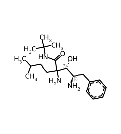 CC(C)CCC(N)(C(=O)NC(C)(C)C)[C@H](O)[C@H](N)Cc1ccccc1